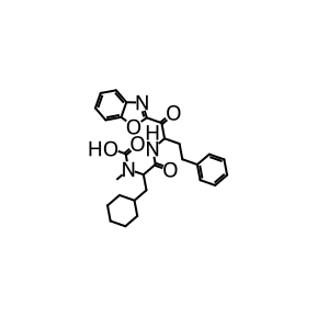 CN(C(=O)O)C(CC1CCCCC1)C(=O)NC(CCc1ccccc1)C(=O)c1nc2ccccc2o1